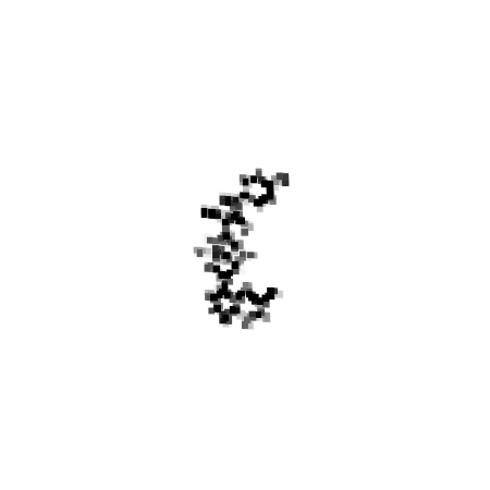 O=C(Nc1ccc(Cl)cc1)C(O)[C@H]1C[C@H]2C[C@@H](c3ccnc4ccc(F)cc34)C[C@H]2C1